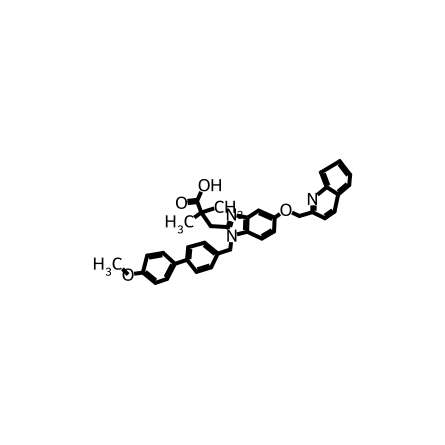 COc1ccc(-c2ccc(Cn3c(CC(C)(C)C(=O)O)nc4cc(OCc5ccc6ccccc6n5)ccc43)cc2)cc1